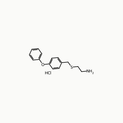 Cl.NCCSCc1ccc(Oc2ccccc2)cc1